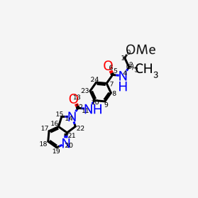 COC[C@H](C)NC(=O)c1ccc(NC(=O)N2Cc3cccnc3C2)cc1